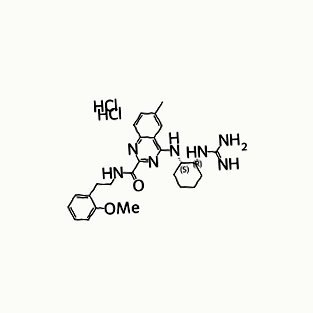 COc1ccccc1CCNC(=O)c1nc(N[C@H]2CCCC[C@H]2NC(=N)N)c2cc(C)ccc2n1.Cl.Cl